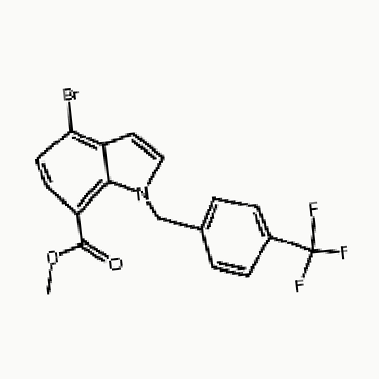 COC(=O)c1ccc(Br)c2ccn(Cc3ccc(C(F)(F)F)cc3)c12